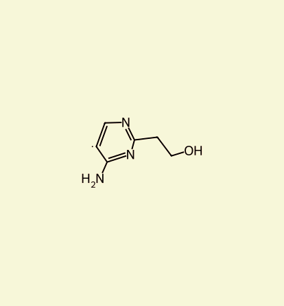 Nc1[c]cnc(CCO)n1